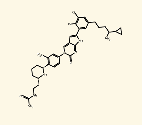 CC(=N)NCC[C@@H]1CCC[C@@H](c2ccc(-n3cc4cc(-c5cc(CCCC(N)C6CC6)cc(Cl)c5F)[nH]c4nc3=O)cc2C)N1